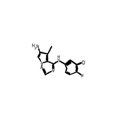 Cc1c(N)cn2ncnc(Nc3ccc(F)c(Cl)c3)c12